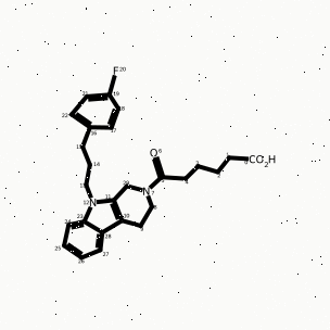 O=C(O)CCCCC(=O)N1CCc2c(n(CCCc3ccc(F)cc3)c3ccccc23)C1